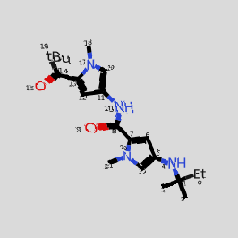 CCC(C)(C)Nc1cc(C(=O)Nc2cc(C(=O)C(C)(C)C)n(C)c2)n(C)c1